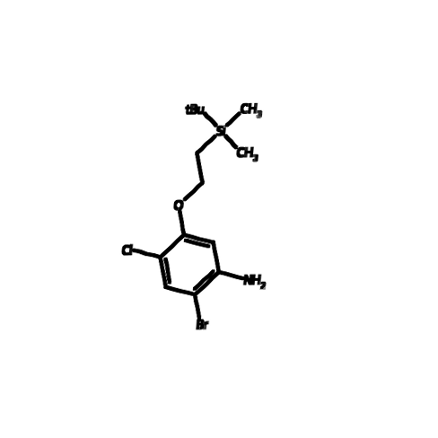 CC(C)(C)[Si](C)(C)CCOc1cc(N)c(Br)cc1Cl